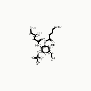 CCCCCCCCCCCCCC(=O)O[C@H]1[C@H](O)[C@@H](CO)O[C@H](OP(=O)(O)O)[C@@H]1NC(=O)C[C@H](O)CCCCCCCCCCC